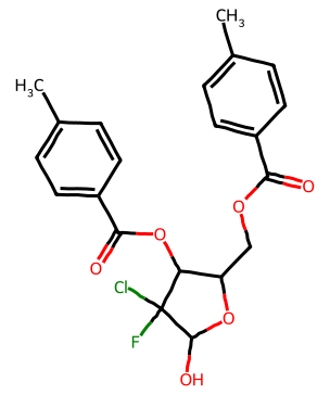 Cc1ccc(C(=O)OCC2OC(O)C(F)(Cl)C2OC(=O)c2ccc(C)cc2)cc1